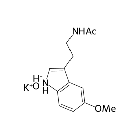 COc1ccc2[nH]cc(CCNC(C)=O)c2c1.[K+].[OH-]